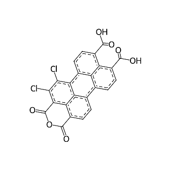 O=C(O)c1ccc2c3ccc4c5c(c(Cl)c(Cl)c(c6ccc(C(=O)O)c1c26)c53)C(=O)OC4=O